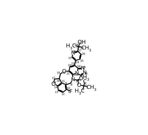 CC(C)(C)OC(=O)N1Cc2c(F)ccc3c2C(CO3)COc2cc(-c3ccc(C(C)(C)O)nc3)c3nncn3c21